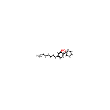 CCCCCCCc1ccc(C2(O)CCCCC2)cc1